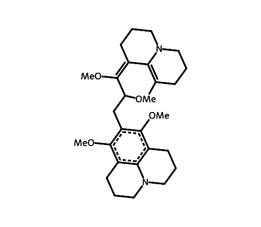 CO/C(=C1\CCCN2CCCC(C)=C12)C(Cc1c(OC)c2c3c(c1OC)CCCN3CCC2)OC